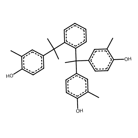 Cc1cc(C(C)(C)c2ccccc2C(C)(c2ccc(O)c(C)c2)c2ccc(O)c(C)c2)ccc1O